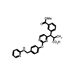 COC(=O)c1cccc(C(c2ccnc(Oc3ccc(CNc4ccccn4)cc3)n2)C(C)C(=O)O)c1